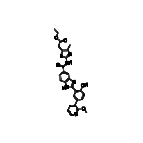 CCOC(=O)Cc1sc(NC(=O)c2ccc3[nH]c(-c4cc(-c5cccnc5OC)ccc4O)nc3c2)nc1C